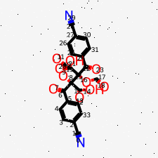 N#Cc1ccc(C(=O)C(OC=O)(C(=O)O)C(OC=O)(C(=O)O)C(=O)c2ccc(C#N)cc2)cc1